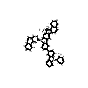 CC1C=CC=CC1n1c2ccccc2c2cc(-c3ccc4c(c3)c3cc5c(cc3n4-c3ncc4ccc6ccccc6c4n3)C(C)(C)c3c-5ccc4ccccc34)ccc21